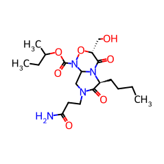 CCCC[C@H]1C(=O)N(CCC(N)=O)CC2N(C(=O)OC(C)CC)O[C@H](CO)C(=O)N21